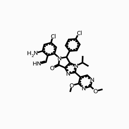 COc1ncc(-c2nc3c(n2C(C)C)C(c2ccc(Cl)cc2)N(c2cc(Cl)cc(N)c2C=N)C3=O)c(OC)n1